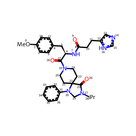 COc1ccc(C[C@@H](NC(=O)CCc2cnc[nH]2)C(=O)N2CCC3(CC2)C(=O)N(C(C)C)CN3c2ccccc2)cc1